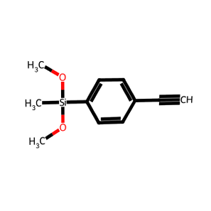 C#Cc1ccc([Si](C)(OC)OC)cc1